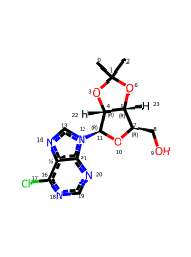 CC1(C)O[C@@H]2[C@H](O1)[C@@H](CO)O[C@H]2n1cnc2c(Cl)ncnc21